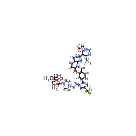 COc1ncnc(C2CC2)c1-c1ncc2ccc(=O)n(Cc3ccc(-c4nc(C(F)(F)F)cn4CCN4CCN(C(=O)OC(C)(C)C)CC4)cc3)c2n1